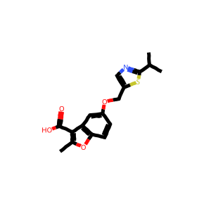 Cc1oc2ccc(OCc3cnc(C(C)C)s3)cc2c1C(=O)O